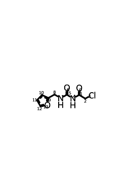 O=C(CCl)NC(=O)NCc1ccco1